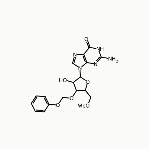 COCC1OC(n2cnc3c(=O)[nH]c(N)nc32)C(O)C1OCOc1ccccc1